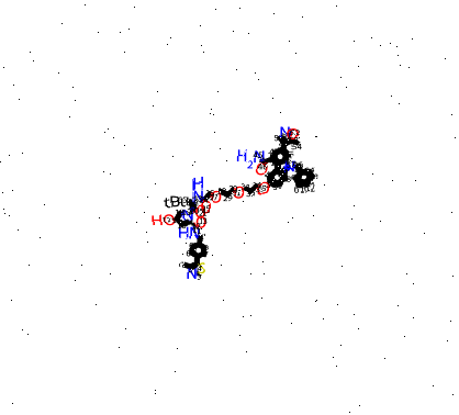 Cc1ncsc1-c1ccc(CNC(=O)[C@@H]2C[C@@H](O)CN2C(=O)C(NC(=O)COCCCOCCCOc2ccc3c(c2)c2c(C(N)=O)cc(-c4cnoc4C)cc2n3Cc2ccccc2)C(C)(C)C)cc1